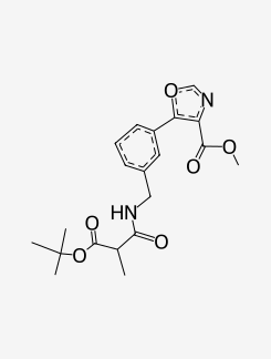 COC(=O)c1ncoc1-c1cccc(CNC(=O)C(C)C(=O)OC(C)(C)C)c1